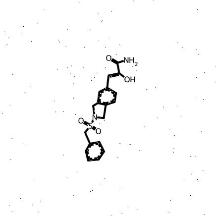 NC(=O)/C(O)=C/c1ccc2c(c1)CN(S(=O)(=O)Cc1ccccc1)C2